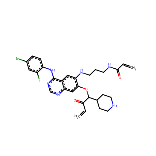 C=CC(=O)NCCCNc1cc2c(Nc3ccc(Br)cc3F)ncnc2cc1OC(C(=O)C=C)C1CCNCC1